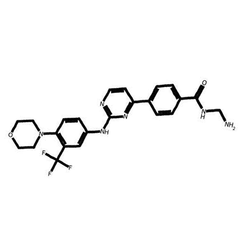 NCNC(=O)c1ccc(-c2ccnc(Nc3ccc(N4CCOCC4)c(C(F)(F)F)c3)n2)cc1